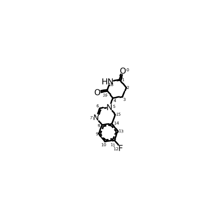 O=C1CCC(N2C=Nc3ccc(F)cc3C2)C(=O)N1